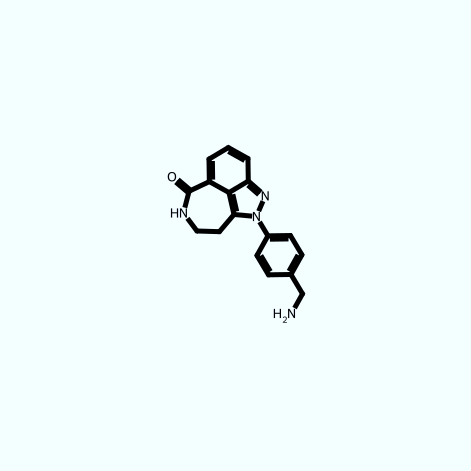 NCc1ccc(-n2nc3cccc4c3c2CCNC4=O)cc1